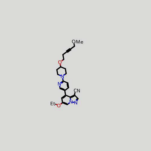 CCOc1cc(-c2ccc(N3CCC(OCCC#CCOC)CC3)nc2)c2c(C#N)cnn2c1